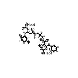 CCCCCCCC(=O)NC(CC(=O)NCC(C)(C)CNC(=O)C(O)C(Cc1ccccc1)NC(=O)CCCCCCC)Cc1cc(F)ccc1F